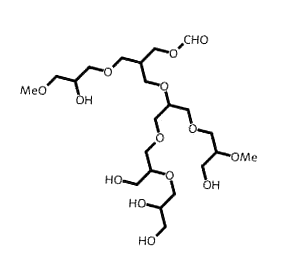 COCC(O)COCC(COC=O)COC(COCC(CO)OC)COCC(CO)OCC(O)CO